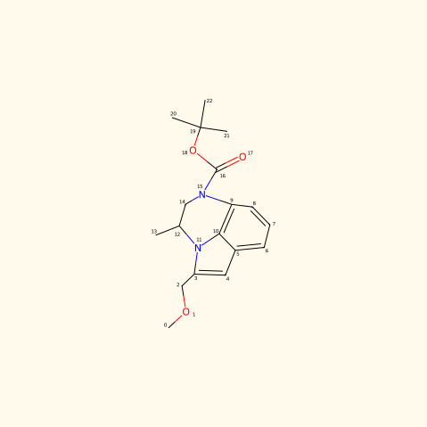 COCc1cc2cccc3c2n1C(C)CN3C(=O)OC(C)(C)C